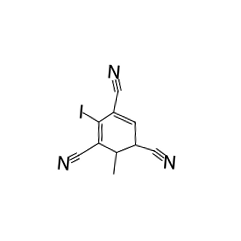 CC1C(C#N)=C(I)C(C#N)=CC1C#N